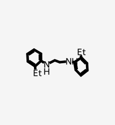 CCc1ccccc1NCCNc1ccccc1CC